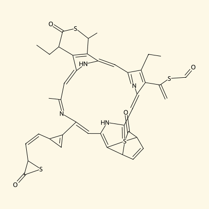 C=C(SC=O)C1=C(CC)c2cc3[nH]c(cc(C)nc(C4=CC4/C=C\C4SC4=O)cc4[nH]c(cc1n2)=S125C(=O)C1C=CC2C=45)c1c3C(C)SC(=O)C1CC